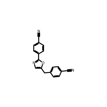 N#Cc1ccc(Cc2cnc(-c3ccc(C#N)cc3)o2)cc1